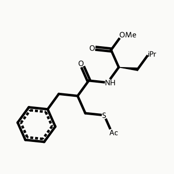 COC(=O)[C@@H](CC(C)C)NC(=O)C(CSC(C)=O)Cc1ccccc1